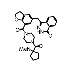 CNC1(C(=O)N2CCN(C(=O)c3cc(Cc4n[nH]c(=O)c5ccccc45)cc4c3OCC4)CC2)CCCC1